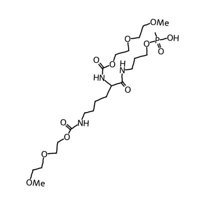 COCCOCCOC(=O)NCCCCC(NC(=O)OCCOCCOC)C(=O)NCCCOP(C)(=O)O